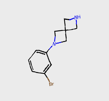 Brc1cccc(N2CC3(CNC3)C2)c1